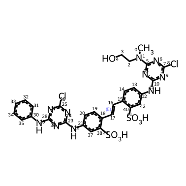 CN(CCO)c1nc(Cl)nc(Nc2ccc(/C=C/c3ccc(Nc4nc(Cl)nc(Nc5ccccc5)n4)cc3S(=O)(=O)O)c(S(=O)(=O)O)c2)n1